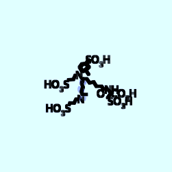 CC(/C=C/C=C(\CCCCCC(=O)NC(CS(=O)(=O)O)C(=O)O)N(CCCS(=O)(=O)O)c1ccc(S(=O)(=O)O)cc1C)=N/CCCS(=O)(=O)O